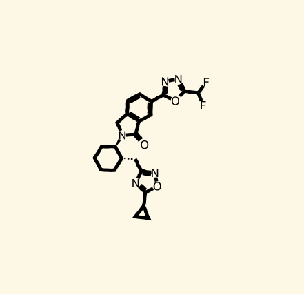 O=C1c2cc(-c3nnc(C(F)F)o3)ccc2CN1[C@@H]1CCCC[C@H]1Cc1noc(C2CC2)n1